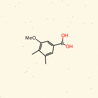 COc1cc(B(O)O)cc(C)c1C